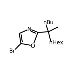 CCCCCCC(C)(CCCC)c1ncc(Br)o1